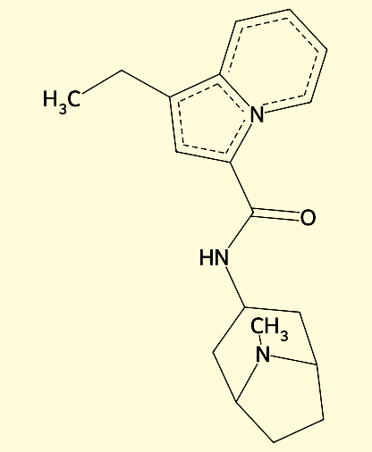 CCc1cc(C(=O)NC2CC3CCC(C2)N3C)n2ccccc12